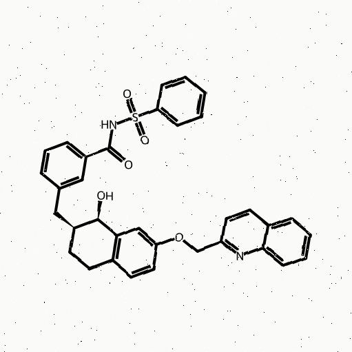 O=C(NS(=O)(=O)c1ccccc1)c1cccc(C[C@@H]2CCc3ccc(OCc4ccc5ccccc5n4)cc3[C@@H]2O)c1